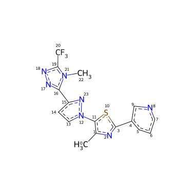 Cc1nc(-c2cccnc2)sc1-n1ccc(-c2nnc(C(F)(F)F)n2C)n1